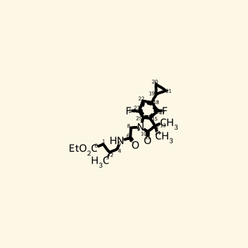 CCOC(=O)C[C@H](C)CNC(=O)CN1C(=O)C(C)(C)c2c(F)c(C3CC3)cc(F)c21